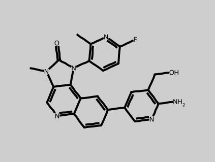 Cc1nc(F)ccc1-n1c(=O)n(C)c2cnc3ccc(-c4cnc(N)c(CO)c4)cc3c21